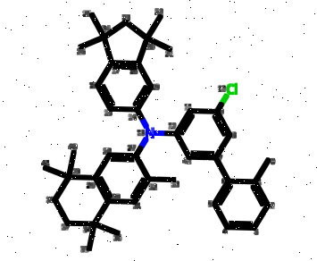 Cc1ccccc1-c1cc(Cl)cc(N(c2ccc3c(c2)C(C)(C)CC3(C)C)c2cc3c(cc2C)C(C)(C)CCC3(C)C)c1